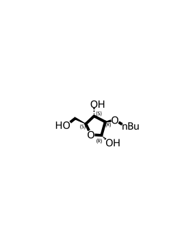 CCCCO[C@@H]1[C@@H](O)[C@H](CO)O[C@H]1O